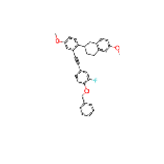 COc1ccc(C2CCc3cc(OC)ccc3C2)c(C#Cc2ccc(OCc3ccccc3)c(F)c2)c1